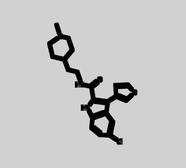 CN1CCC(CCNC(=O)c2[nH]c3ccc(Cl)cc3c2-c2ccoc2)CC1